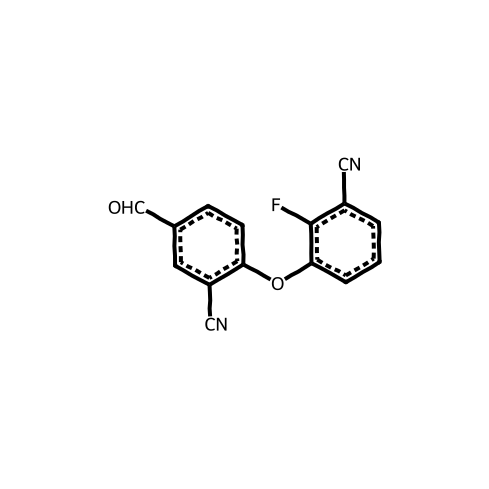 N#Cc1cc(C=O)ccc1Oc1cccc(C#N)c1F